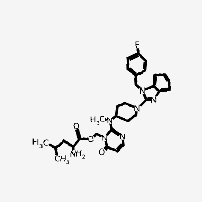 CC(C)CC(N)C(=O)OCn1c(N(C)C2CCN(c3nc4ccccc4n3Cc3ccc(F)cc3)CC2)nccc1=O